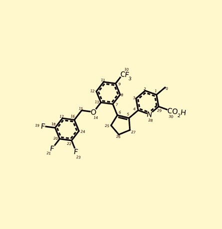 Cc1ccc(C2=C(c3cc(C(F)(F)F)ccc3OCc3cc(F)c(F)c(F)c3)CCC2)nc1C(=O)O